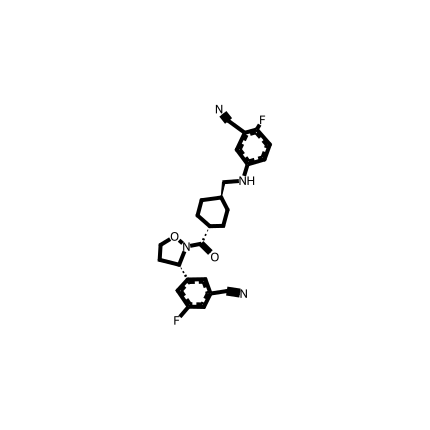 N#Cc1cc(F)cc([C@@H]2CCON2C(=O)[C@H]2CC[C@H](CNc3ccc(F)c(C#N)c3)CC2)c1